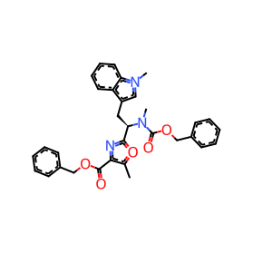 Cc1oc([C@@H](Cc2cn(C)c3ccccc23)N(C)C(=O)OCc2ccccc2)nc1C(=O)OCc1ccccc1